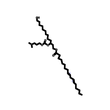 CCCCC/C=C/C/C=C/CCCCCCCC(=O)OCCC(CCCCCCCCCCO)OC(=O)OCCCN(C)C